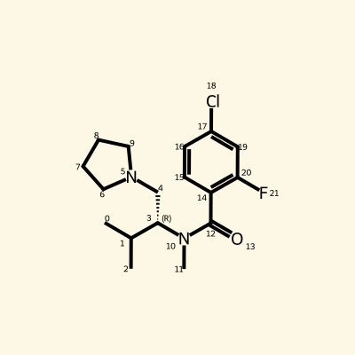 CC(C)[C@H](CN1CCCC1)N(C)C(=O)c1ccc(Cl)cc1F